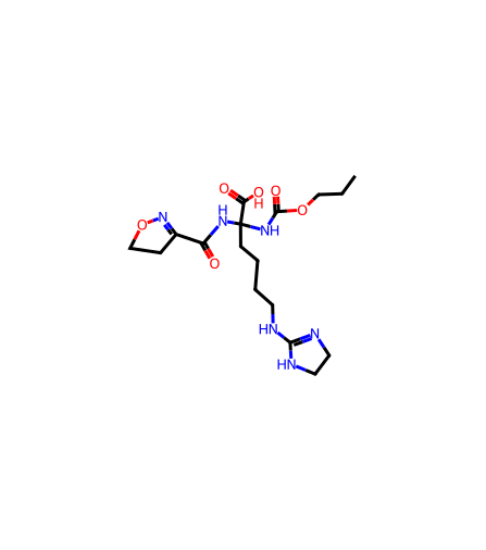 CCCOC(=O)NC(CCCCNC1=NCCN1)(NC(=O)C1=NOCC1)C(=O)O